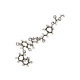 CCOC(=O)COc1ccc(C=CC(=O)NCC(=O)N(C)c2ccc(Cl)c(COc3cccc4ccc(C)nc34)c2Cl)cc1